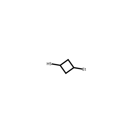 CCC1CC(S)C1